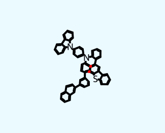 c1cc(-c2ccc(N(c3ccc(-n4c5ccccc5c5ccccc54)cc3)c3ccccc3-c3ccc4sc5ccccc5c4c3)cc2)cc(-c2ccc3ccccc3c2)c1